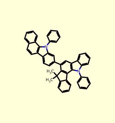 CC1(C)c2ccccc2-c2c1c(-c1ccc3c4ccc5ccccc5c4n(-c4ccccc4)c3c1)cc1c3ccccc3n(-c3ccccc3)c21